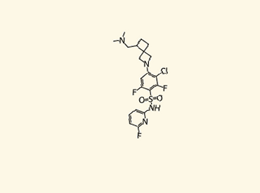 CN(C)CC1CCC12CN(c1cc(F)c(S(=O)(=O)Nc3cccc(F)n3)c(F)c1Cl)C2